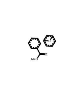 COC(=O)c1ccccc1.c1cc2cc(c1)O2